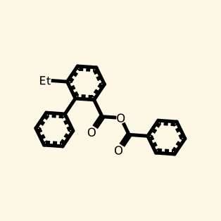 CCc1cccc(C(=O)OC(=O)c2ccccc2)c1-c1ccccc1